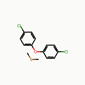 CSC.Clc1ccc(Oc2ccc(Cl)cc2)cc1